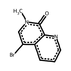 Cn1cc(Br)c2cccnc2c1=O